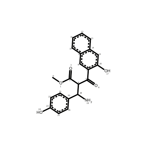 COC(=O)C(C(=O)c1cc2ccccc2cc1O)C(N)c1ccc(O)cc1